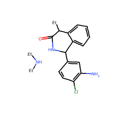 CCC1C(=O)NC(c2ccc(Cl)c(N)c2)c2ccccc21.CCNCC